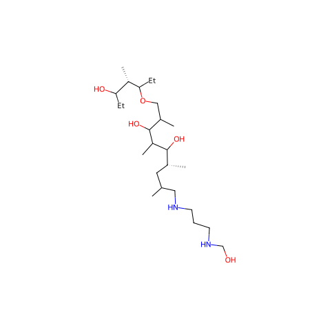 CCC(O)[C@H](C)C(CC)OCC(C)C(O)C(C)C(O)[C@H](C)CC(C)CNCCCNCO